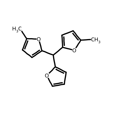 Cc1ccc(C(c2ccco2)c2ccc(C)o2)o1